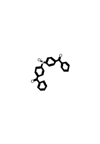 O=C(c1ccccc1)c1ccc([S+]([O-])c2ccc(C(=O)c3ccccc3)cc2)cc1